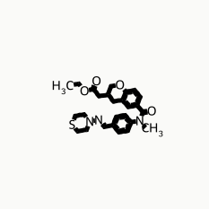 CCOC(=O)CC1COc2ccc(C(=O)N(C)c3ccc(C=NN4CCSCC4)cc3)cc2C1